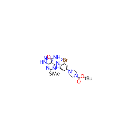 CSc1nc(NN)c(C(N)=O)c(Nc2ccc(N3CCN(C(=O)OC(C)(C)C)CC3)cc2Br)n1